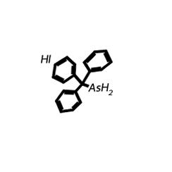 I.[AsH2]C(c1ccccc1)(c1ccccc1)c1ccccc1